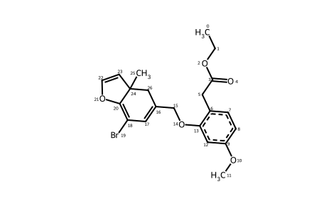 CCOC(=O)Cc1ccc(OC)cc1OCC1=CC(Br)=C2OC=CC2(C)C1